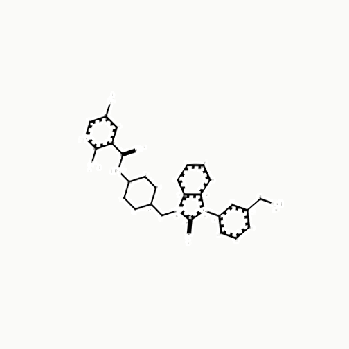 Cc1ncc(Cl)cc1C(=O)NC1CCC(Cn2c(=O)n(-c3cccc(CO)c3)c3ccccc32)CC1